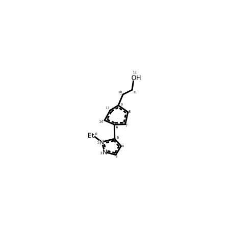 CCn1nccc1-c1ccc([CH]CO)cc1